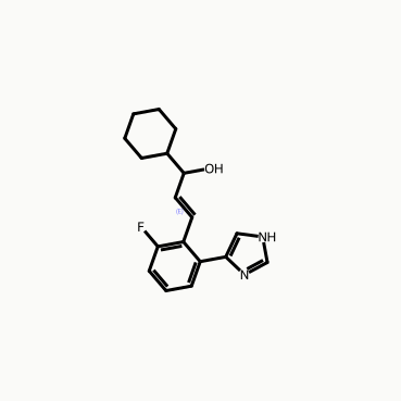 OC(/C=C/c1c(F)cccc1-c1c[nH]cn1)C1CCCCC1